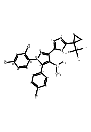 C[S+]([O-])c1c(-c2nnc(C3(C(F)(F)F)CC3)s2)nn(-c2ccc(Cl)cc2Cl)c1-c1ccc(Br)cc1